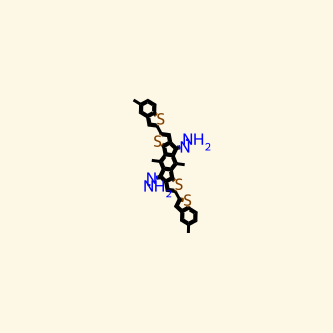 Cc1ccc2sc(-c3cc4/c(=N\N)c5c(C)c6c(c(C)c5c4s3)/c(=N/N)c3cc(-c4cc5cc(C)ccc5s4)sc36)cc2c1